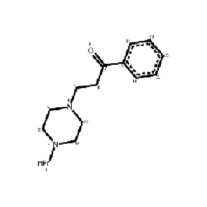 CCCN1CCN(CCC(=O)c2ccccc2)CC1